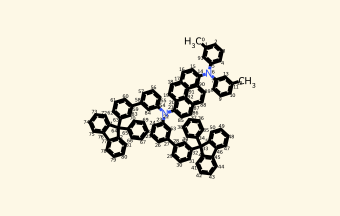 Cc1cccc(N(c2cccc(C)c2)c2ccc3ccc4c(N(c5cccc(-c6cccc(C7(c8ccccc8)c8ccccc8-c8ccccc87)c6)c5)c5cccc(-c6cccc(C7(c8ccccc8)c8ccccc8-c8ccccc87)c6)c5)ccc5ccc2c3c54)c1